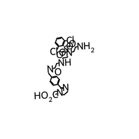 CN(Cc1ccc(C2=NCCN2C(=O)O)cc1)C(=O)CNC(=O)CN(CC(N)=O)S(=O)(=O)c1c(Cl)cccc1Cl